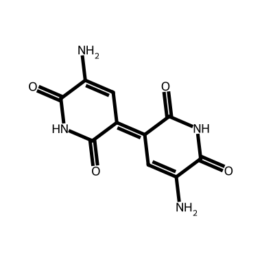 NC1=C/C(=C2/C=C(N)C(=O)NC2=O)C(=O)NC1=O